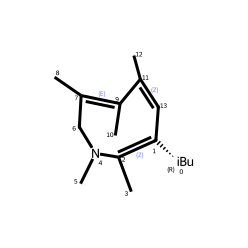 CC[C@@H](C)C1=C(\C)N(C)C/C(C)=C(C)/C(C)=C\1